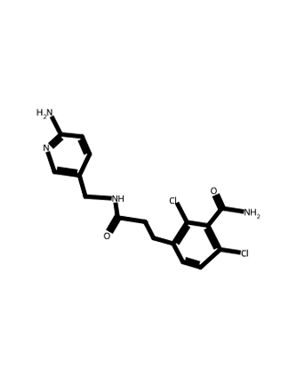 NC(=O)c1c(Cl)ccc(C[CH]C(=O)NCc2ccc(N)nc2)c1Cl